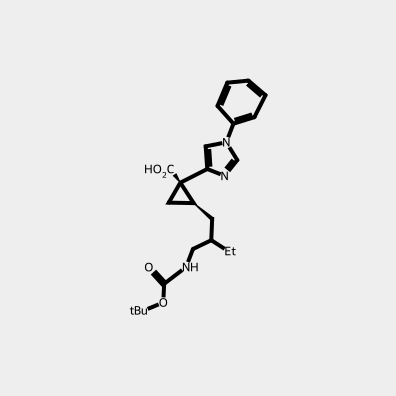 CCC(CNC(=O)OC(C)(C)C)C[C@H]1C[C@]1(C(=O)O)c1cn(-c2ccccc2)cn1